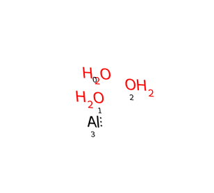 O.O.O.[Al]